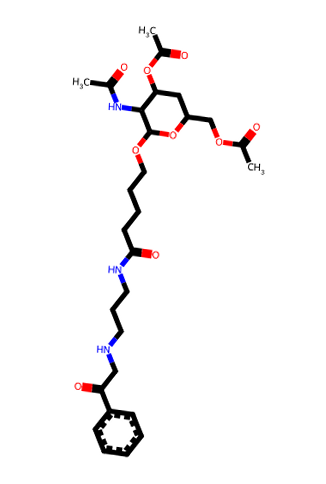 CC(=O)NC1C(OC(C)=O)CC(COC(C)=O)OC1OCCCCC(=O)NCCCNCC(=O)c1ccccc1